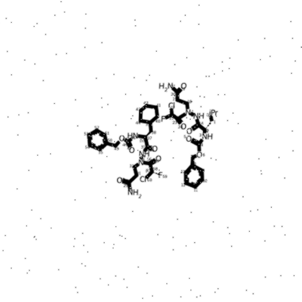 CC(C)C[C@H](NC(=O)OCc1ccccc1)C(=O)NN(CCC(N)=O)C(=O)C(F)Cl.NC(=O)CCN(NC(=O)[C@H](CC1CCCCC1)NC(=O)OCc1ccccc1)C(=O)[C@H](F)Cl